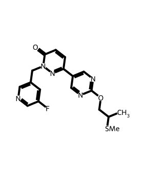 CSC(C)COc1ncc(-c2ccc(=O)n(Cc3cncc(F)c3)n2)cn1